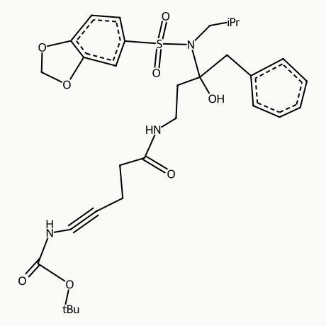 CC(C)CN(C(O)(CCNC(=O)CCC#CNC(=O)OC(C)(C)C)Cc1ccccc1)S(=O)(=O)c1ccc2c(c1)OCO2